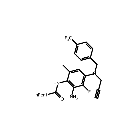 C#CCN(Cc1ccc(C(F)(F)F)cc1)c1cc(C)c(NC(=O)CCCCC)c(N)c1F